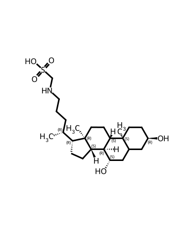 C[C@H](CCCNCS(=O)(=O)O)[C@H]1CC[C@H]2[C@@H]3[C@@H](O)CC4C[C@H](O)CC[C@]4(C)[C@H]3CC[C@]12C